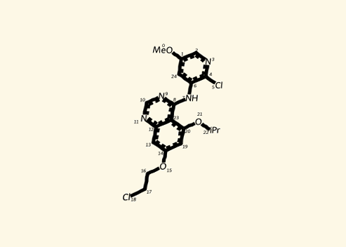 COc1cnc(Cl)c(Nc2ncnc3cc(OCCCl)cc(OC(C)C)c23)c1